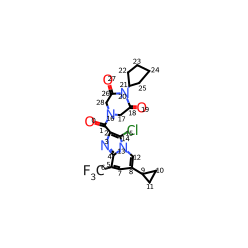 O=C(c1nc2c(C(F)(F)F)cc(C3CC3)cn2c1Cl)N1CC(=O)N(C2CCCC2)C(=O)C1